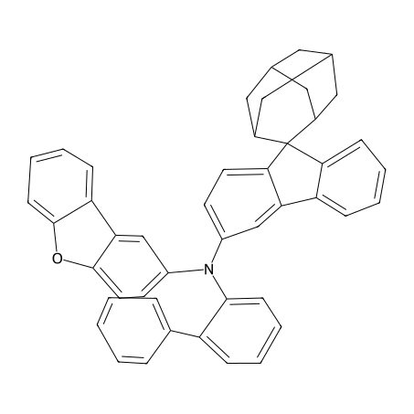 c1ccc(-c2ccccc2N(c2ccc3c(c2)-c2ccccc2C32C3CC4CC(C3)CC2C4)c2ccc3oc4ccccc4c3c2)cc1